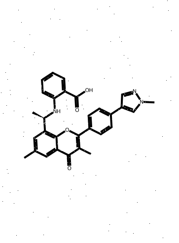 Cc1cc([C@@H](C)Nc2ccccc2C(=O)O)c2oc(-c3ccc(-c4cnn(C)c4)cc3)c(C)c(=O)c2c1